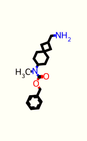 CN(C(=O)OCc1ccccc1)C1CCC2(CC1)CC(CN)C2